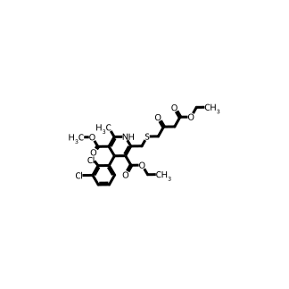 CCOC(=O)CC(=O)CSCC1=C(C(=O)OCC)C(c2cccc(Cl)c2Cl)C(C(=O)OC)=C(C)N1